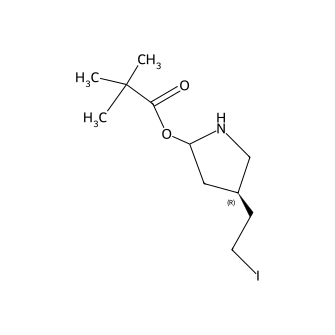 CC(C)(C)C(=O)OC1C[C@H](CCI)CN1